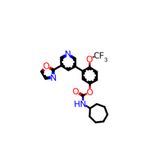 O=C(NC1CCCCCC1)Oc1ccc(OC(F)(F)F)c(-c2cncc(-c3ncco3)c2)c1